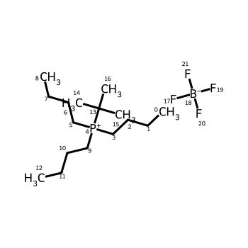 CCCC[P+](CCCC)(CCCC)C(C)(C)C.F[B-](F)(F)F